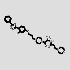 C[C@@H](NC(=O)CCN1CCOCC1)C(=O)N1CCN(CCCOc2ccc(-c3noc(-c4ccccc4)n3)c(F)c2)CC1